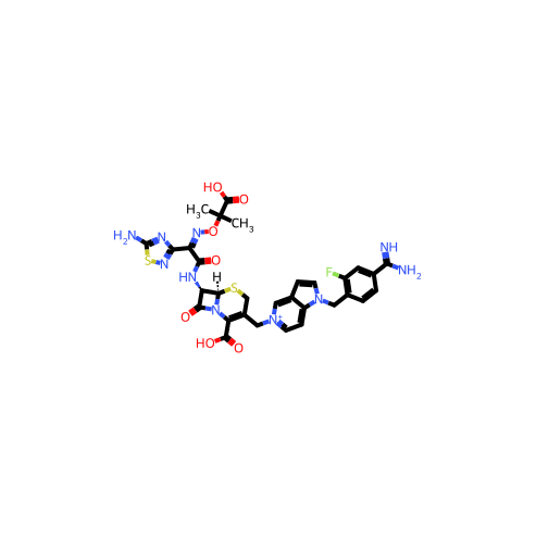 CC(C)(O/N=C(\C(=O)N[C@@H]1C(=O)N2C(C(=O)O)=C(C[n+]3ccc4c(ccn4Cc4ccc(C(=N)N)cc4F)c3)CS[C@H]12)c1nsc(N)n1)C(=O)O